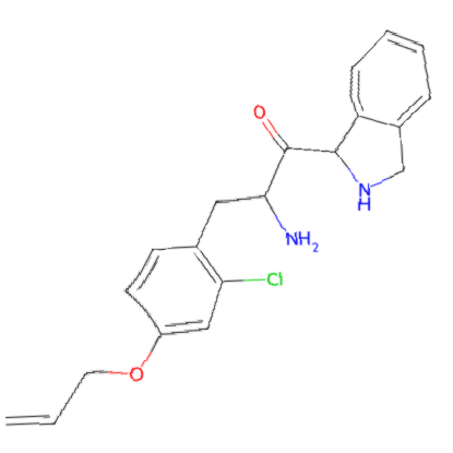 C=CCOc1ccc(CC(N)C(=O)C2NCc3ccccc32)c(Cl)c1